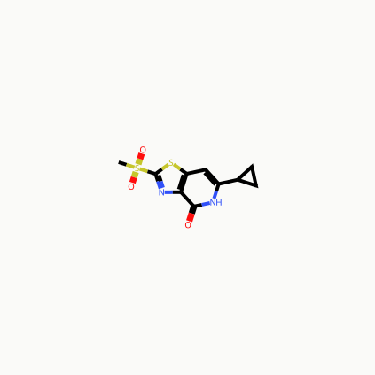 CS(=O)(=O)c1nc2c(=O)[nH]c(C3CC3)cc2s1